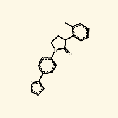 O=C1C(c2ccccc2F)CCN1c1ccc(-c2cnco2)cc1